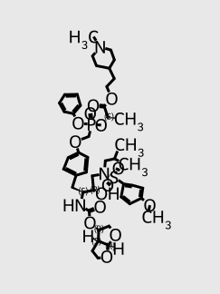 COc1ccc(S(=O)(=O)N(CC(C)C)C[C@@H](O)[C@H](Cc2ccc(OCP(=O)(Oc3ccccc3)O[C@@H](C)C(=O)OCCC3CCN(C)CC3)cc2)NC(=O)O[C@H]2CO[C@H]3OCC[C@H]32)cc1